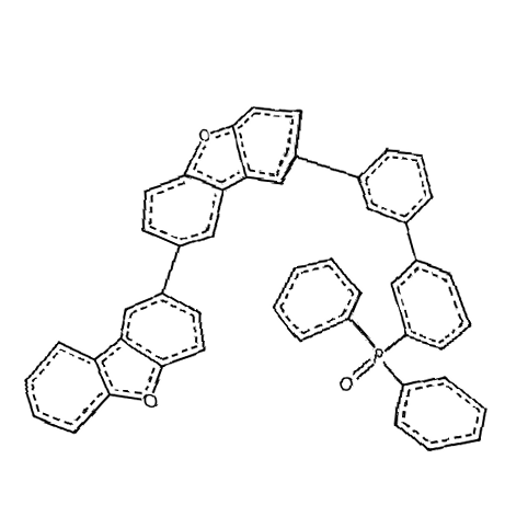 O=P(c1ccccc1)(c1ccccc1)c1cccc(-c2cccc(-c3ccc4oc5ccc(-c6ccc7oc8ccccc8c7c6)cc5c4c3)c2)c1